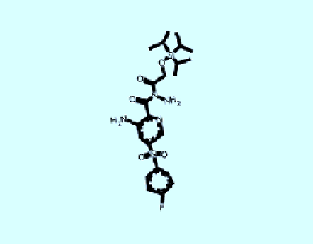 CC(C)[Si](OCC(=O)N(N)C(=O)c1ncc(S(=O)(=O)c2ccc(F)cc2)cc1N)(C(C)C)C(C)C